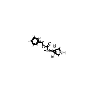 O=C(NC1[C@H]2CNC[C@@H]12)OCc1ccccc1